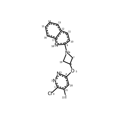 Clc1nnc(OC2CN(c3ccc4ccccc4n3)C2)cc1I